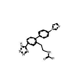 CC(C)C(=O)NCCc1cc(-c2nnn[nH]2)ccc1-c1ccc(-n2ccnc2)cc1